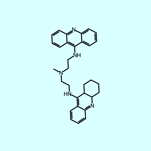 CN(CCNC1=c2ccccc2=NC2CCCCC12)CCNc1c2ccccc2nc2ccccc12